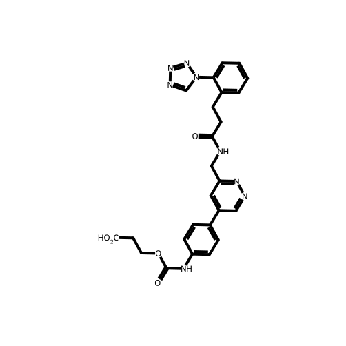 O=C(O)CCOC(=O)Nc1ccc(-c2cnnc(CNC(=O)CCc3ccccc3-n3cnnn3)c2)cc1